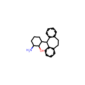 NC1CCCC(C2c3ccccc3CCc3ccccc32)C1O